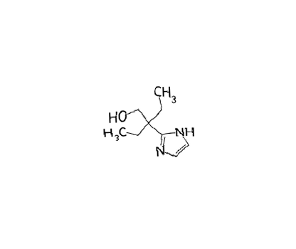 CCC(CC)(CO)c1ncc[nH]1